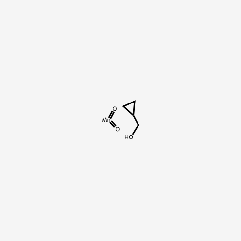 OCC1CC1.[O]=[Mn]=[O]